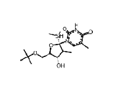 Cc1cn([C@]2([SiH](C)C)O[C@H](COC(C)(C)C)[C@@H](O)C2C)c(=O)[nH]c1=O